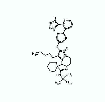 CCCCCc1c(Cc2ccc(-c3ccccc3-c3nnn[nH]3)cc2)c(=O)n2n1C(C1(C(=O)NC(C)(C)C)CCCCC1)CCC2